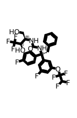 O=C(N[C@H](CO)[C@@H](O)C(F)(F)F)N[C@](Cc1ccccc1)(c1ccc(F)cc1)c1cc(F)cc(OC(F)(F)C(F)F)c1